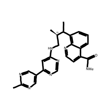 CNC(=O)c1ccnc2c(C(C)[C@H](C)CNc3cc(-c4cnc(C)nc4)ncn3)cccc12